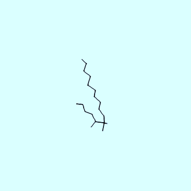 CCCCCCCCCCC(C)(O)C(C)CCCC